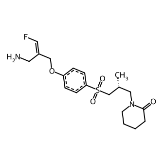 C[C@H](CN1CCCCC1=O)CS(=O)(=O)c1ccc(OC/C(=C/F)CN)cc1